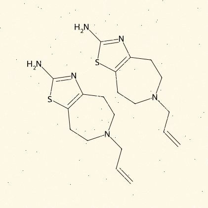 C=CCN1CCc2nc(N)sc2CC1.C=CCN1CCc2nc(N)sc2CC1